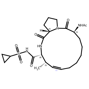 CC(=O)N[C@H]1CCCCC/C=C\[C@H](C)[C@H](C(=O)NS(=O)(=O)C2CC2)NC(=O)[C@@H]2CCCN2C1=O